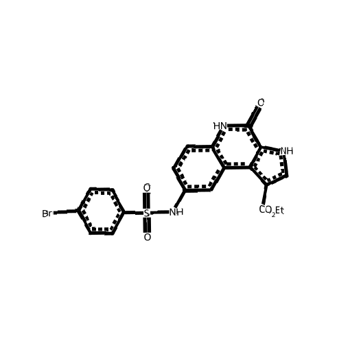 CCOC(=O)c1c[nH]c2c(=O)[nH]c3ccc(NS(=O)(=O)c4ccc(Br)cc4)cc3c12